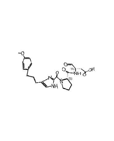 COc1ccc(CCCc2c[nH]c(C(=O)N3CCC[C@H]3C(=O)N[C@H](C=O)CC(=O)O)n2)cc1